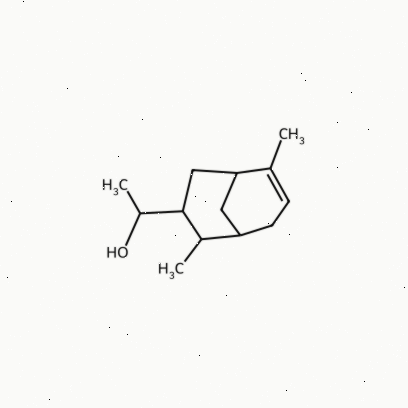 CC1=CCC2CC1CC(C(C)O)C2C